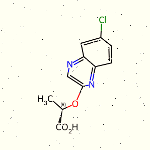 C[C@@H](Oc1cnc2cc(Cl)ccc2n1)C(=O)O